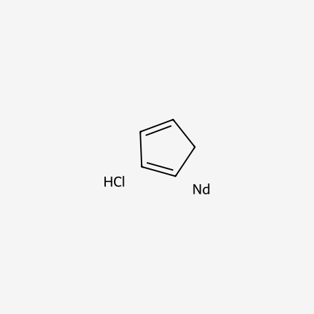 C1=CCC=C1.Cl.[Nd]